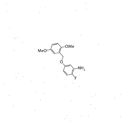 COc1ccc(OC)c(COc2ccc(F)c(N)c2)c1